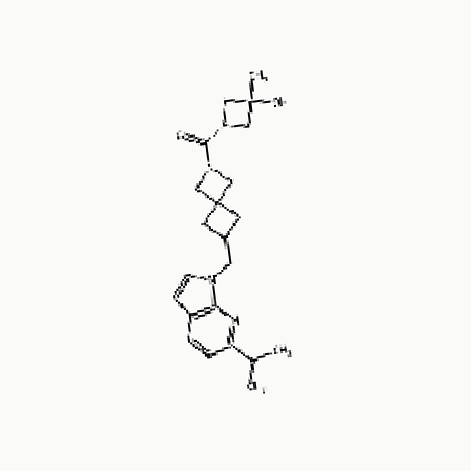 CC(C)c1ccc2ccn(CC3CC4(C3)CN(C(=O)[C@H]3C[C@@](C)(O)C3)C4)c2n1